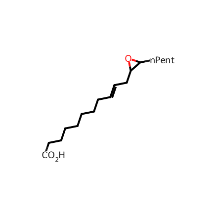 CCCCCC1OC1CC=CCCCCCCCC(=O)O